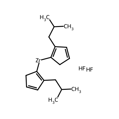 CC(C)CC1=[C]([Zr][C]2=C(CC(C)C)C=CC2)CC=C1.F.F